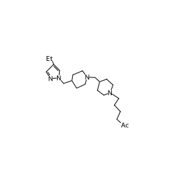 CCc1cnn(CC2CCN(CC3CCN(CCCCC(C)=O)CC3)CC2)c1